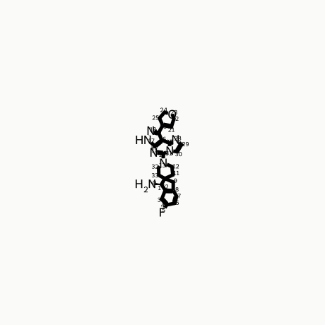 N[C@@H]1c2cc(F)ccc2CC12CCN(c1nc3[nH]nc(C4=CCOCC4)c3c3nccn13)CC2